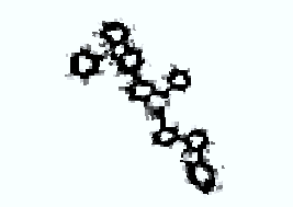 c1ccc(-c2nc(-c3cccc(-c4cccc5c4sc4ccccc45)c3)nc3ccc(-c4ccc5c6ccccc6n(-c6ccccc6)c5c4)cc23)cc1